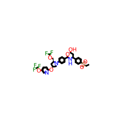 CCS(=O)(=O)c1ccc(C(CCO)NC(=O)c2ccc(N3C[C@@H](Oc4ccc(OC(F)(F)F)cn4)C[C@H]3COC(F)F)cc2)cc1